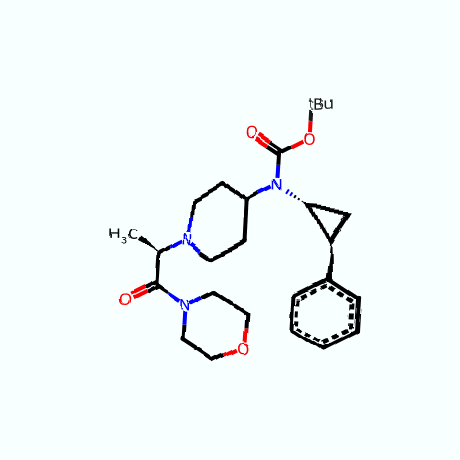 C[C@H](C(=O)N1CCOCC1)N1CCC(N(C(=O)OC(C)(C)C)[C@@H]2C[C@H]2c2ccccc2)CC1